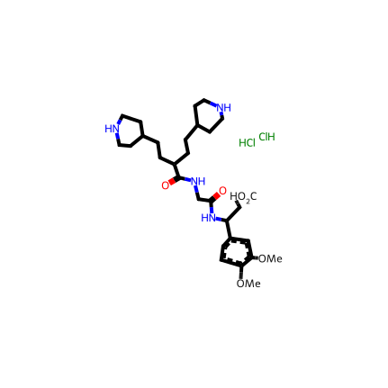 COc1ccc(C(CC(=O)O)NC(=O)CNC(=O)C(CCC2CCNCC2)CCC2CCNCC2)cc1OC.Cl.Cl